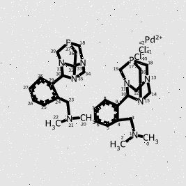 CN(C)Cc1ccccc1C1N2CN3CN1CP(C3)C2.CN(C)Cc1ccccc1C1N2CN3CN1CP(C3)C2.[Cl-].[Cl-].[Pd+2]